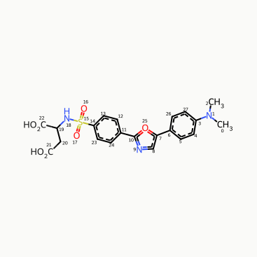 CN(C)c1ccc(-c2cnc(-c3ccc(S(=O)(=O)NC(CC(=O)O)C(=O)O)cc3)o2)cc1